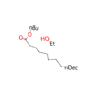 CCCCCCCCCCCCCCCCCC(=O)OCCCC.CCO